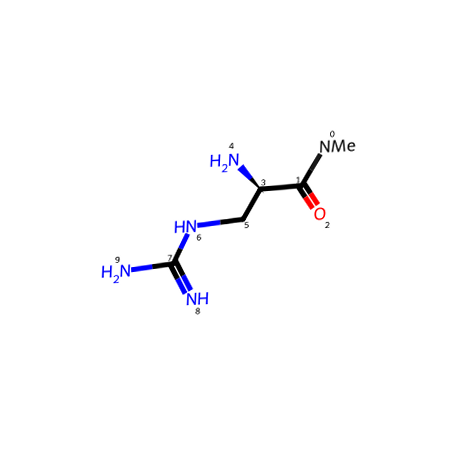 CNC(=O)[C@H](N)CNC(=N)N